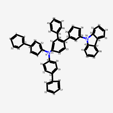 c1ccc(-c2ccc(N(c3ccc(-c4ccccc4)cc3)c3ccc(-c4cccc(-n5c6ccccc6c6ccccc65)c4)c(-c4ccccc4)c3)cc2)cc1